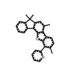 Cc1ccc2c(oc3c4c(cc(C)c32)C(C)(C)c2ccccc2-4)c1-c1ccccn1